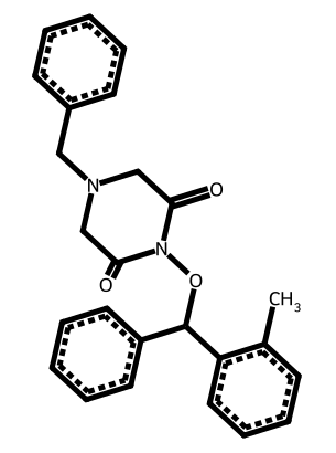 Cc1ccccc1C(ON1C(=O)CN(Cc2ccccc2)CC1=O)c1ccccc1